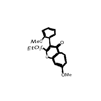 CCOC(=O)c1oc2cc(OC)ccc2c(=O)c1-c1ccccc1OC